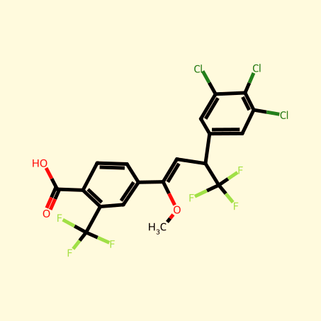 COC(=CC(c1cc(Cl)c(Cl)c(Cl)c1)C(F)(F)F)c1ccc(C(=O)O)c(C(F)(F)F)c1